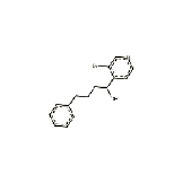 OC(CCCc1ccccc1)c1ccncc1Br